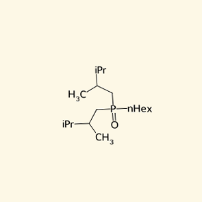 CCCCCCP(=O)(CC(C)C(C)C)CC(C)C(C)C